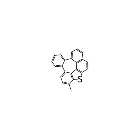 Cc1ccc2c3c1sc1ccc4cccc(c4c13)-c1ccccc1-2